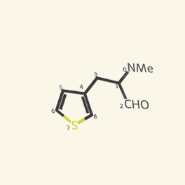 CNC(C=O)Cc1ccsc1